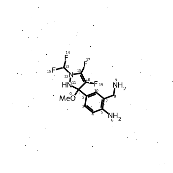 COC1(c2ccc(N)c(CN)c2)NN(C(F)F)C(F)=C1F